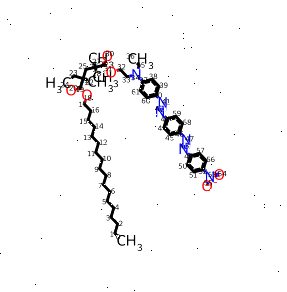 CCCCCCCCCCCCCCCCCCOC(=O)C(C)(CC)CC(C)(C)C(=O)OCCN(CC)c1ccc(/N=N/c2ccc(/N=N/c3ccc([N+](=O)[O-])cc3)cc2)cc1